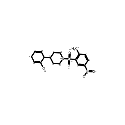 Cc1ccc([N+](=O)[O-])cc1S(=O)(=O)N1CCC(C2C=CCC=C2Cl)CC1